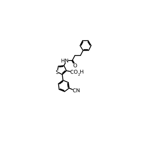 N#Cc1cccc(-c2scc(NC(=O)CCc3ccccc3)c2C(=O)O)c1